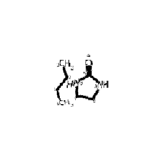 CCCC.O=C1NCCN1